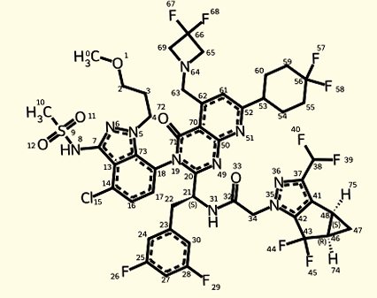 COCCCn1nc(NS(C)(=O)=O)c2c(Cl)ccc(-n3c([C@H](Cc4cc(F)cc(F)c4)NC(=O)Cn4nc(C(F)F)c5c4C(F)(F)[C@@H]4C[C@H]54)nc4nc(C5CCC(F)(F)CC5)cc(CN5CC(F)(F)C5)c4c3=O)c21